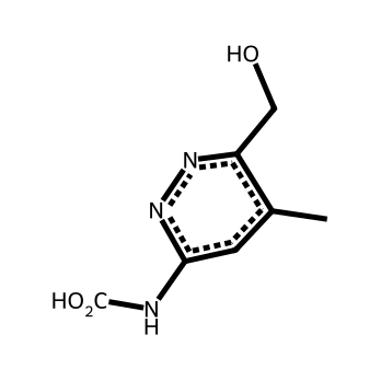 Cc1cc(NC(=O)O)nnc1CO